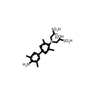 Cc1cc(-c2cc(C)c(N(CC(O)S(=O)(=O)O)CC(O)S(=O)(=O)O)c(C)c2)cc(C)c1N